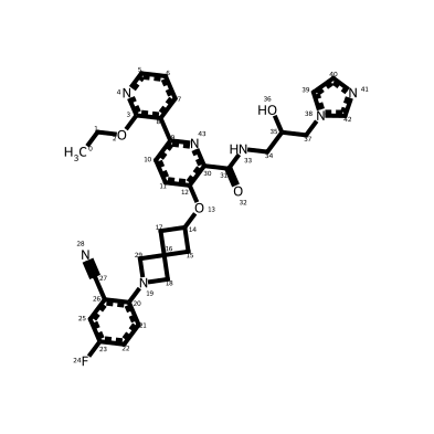 CCOc1ncccc1-c1ccc(OC2CC3(C2)CN(c2ccc(F)cc2C#N)C3)c(C(=O)NCC(O)Cn2ccnc2)n1